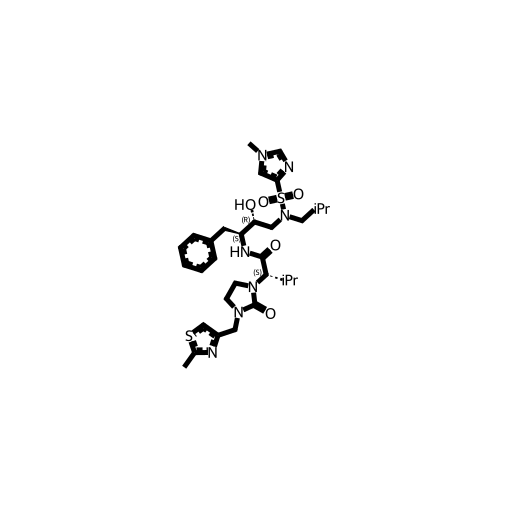 Cc1nc(CN2CCN([C@H](C(=O)N[C@@H](Cc3ccccc3)[C@H](O)CN(CC(C)C)S(=O)(=O)c3cn(C)cn3)C(C)C)C2=O)cs1